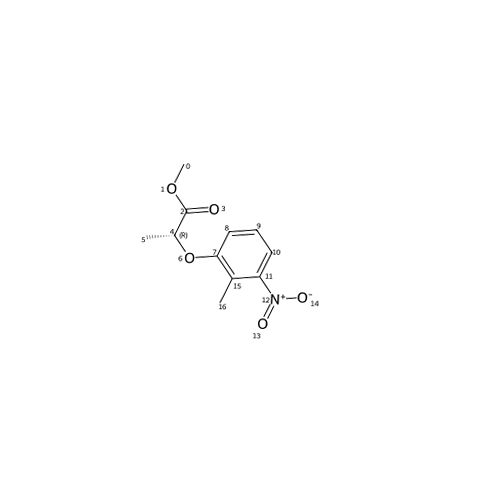 COC(=O)[C@@H](C)Oc1cccc([N+](=O)[O-])c1C